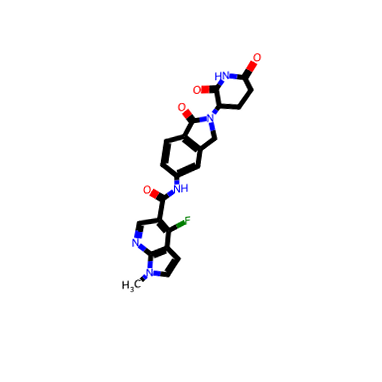 Cn1ccc2c(F)c(C(=O)Nc3ccc4c(c3)CN(C3CCC(=O)NC3=O)C4=O)cnc21